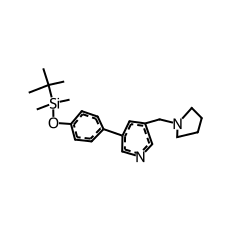 CC(C)(C)[Si](C)(C)Oc1ccc(-c2cncc(CN3CCCC3)c2)cc1